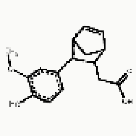 COc1cc(C2C3C=CC(C3)C2CC(=O)O)ccc1O